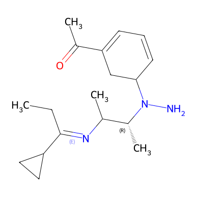 CC/C(=N\C(C)[C@@H](C)N(N)C1C=CC=C(C(C)=O)C1)C1CC1